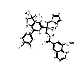 COc1cc(C(=O)NCC(O)(Cn2cccn2)c2cc3c(c(-c4ccc(F)c(Cl)c4)n2)OCC3(C)C)cc2cccnc12